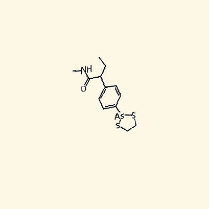 CCC(C(=O)NC)c1ccc([As]2SCCS2)cc1